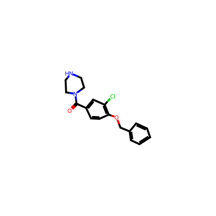 O=C(c1ccc(OCc2ccccc2)c(Cl)c1)N1CCNCC1